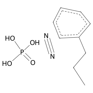 CCCc1ccccc1.N#N.O=P(O)(O)O